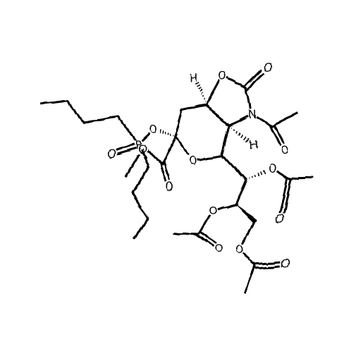 CCCCP(=O)(CCCC)O[C@]1(C(=O)OC)C[C@H]2OC(=O)N(C(C)=O)[C@H]2C([C@H](OC(C)=O)[C@@H](COC(C)=O)OC(C)=O)O1